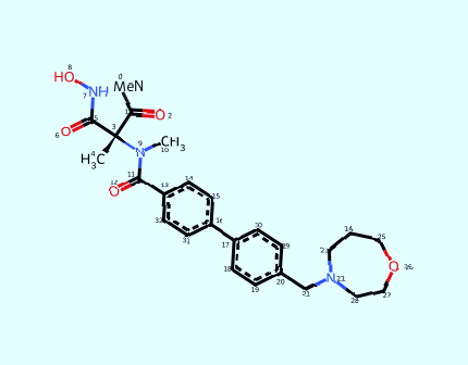 CNC(=O)[C@@](C)(C(=O)NO)N(C)C(=O)c1ccc(-c2ccc(CN3CCCOCC3)cc2)cc1